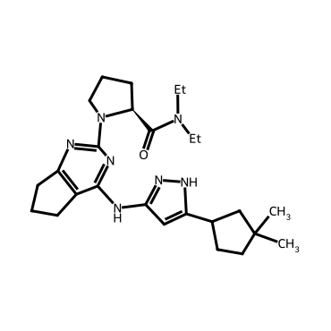 CCN(CC)C(=O)[C@@H]1CCCN1c1nc2c(c(Nc3cc(C4CCC(C)(C)C4)[nH]n3)n1)CCC2